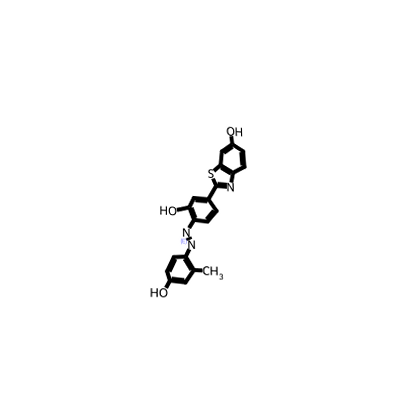 Cc1cc(O)ccc1/N=N/c1ccc(-c2nc3ccc(O)cc3s2)cc1O